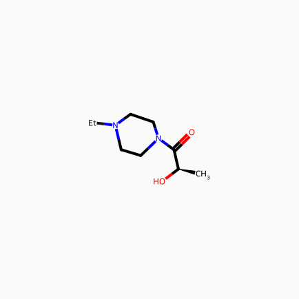 CCN1CCN(C(=O)[C@@H](C)O)CC1